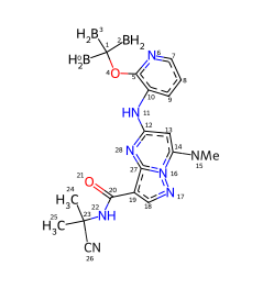 BC(B)(B)Oc1ncccc1Nc1cc(NC)n2ncc(C(=O)NC(C)(C)C#N)c2n1